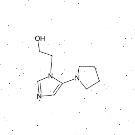 OCCn1cncc1N1CCCC1